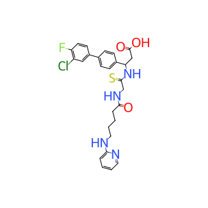 O=C(O)CC(NC(=S)CNC(=O)CCCCNc1ccccn1)c1ccc(-c2ccc(F)c(Cl)c2)cc1